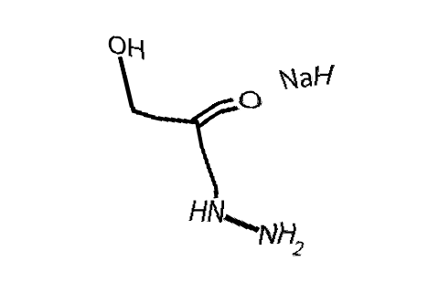 NNC(=O)CO.[NaH]